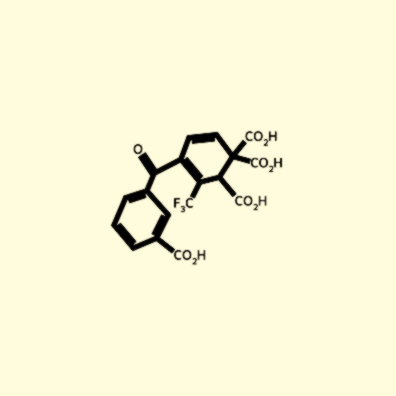 O=C(O)c1cccc(C(=O)C2=C(C(F)(F)F)C(C(=O)O)C(C(=O)O)(C(=O)O)C=C2)c1